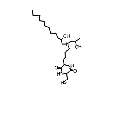 CCCCCCCCCCC(O)CN(CCCCC1NC(=O)C(CS)NC1=O)CC(C)O